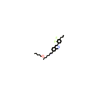 C=CCc1ccc(-c2cc3ccc(/C=C/CCCC(C)OCCCCC)cc3cn2)c(F)c1F